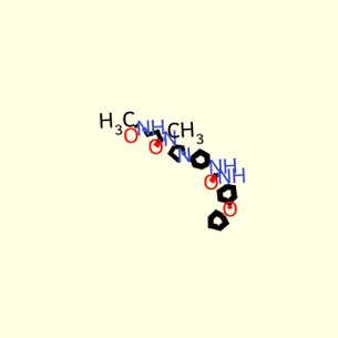 CC(=O)NCCC(=O)N(C)C1CCN(c2ccc(NC(=O)Nc3ccc(Oc4ccccc4)cc3)cc2)C1